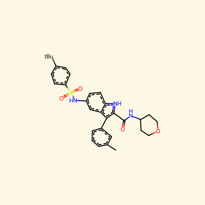 Cc1cccc(-c2c(C(=O)NC3CCOCC3)[nH]c3ccc(NS(=O)(=O)c4ccc(C(C)(C)C)cc4)cc23)c1